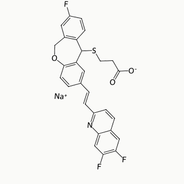 O=C([O-])CCSC1c2ccc(F)cc2COc2ccc(C=Cc3ccc4cc(F)c(F)cc4n3)cc21.[Na+]